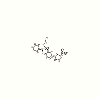 CCCCC(=O)N(Cc1ccc(-c2cccc([N+](=O)[O-])c2)cc1)c1ccccc1